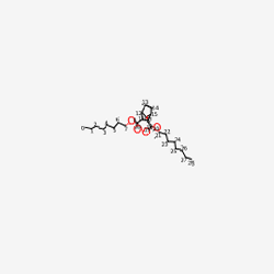 CCCCCCCCOC(=O)C1C2CCC(C2)C1C(=O)OCCCCCCCC